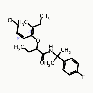 CC/C(C)=C(/C=C\CCl)OC(CC)C(=O)NC(C)(C)c1ccc(F)cc1